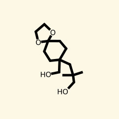 CC(C)(CO)CC1(CO)CCC2(CC1)OCCO2